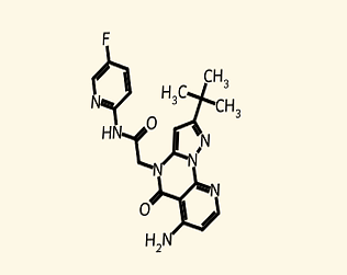 CC(C)(C)c1cc2n(CC(=O)Nc3ccc(F)cn3)c(=O)c3c(N)ccnc3n2n1